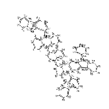 c1ccc2c(c1)N(c1cccc3c(N4c5ccccc5N(c5cccc6c5sc5ccccc56)c5cc6c7ccccc7n(-c7ccncc7)c6cc54)cccc13)c1ccccc1N2c1cccc2c1sc1ccccc12